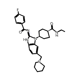 CCNC(=O)[C@H]1CC[C@@H](n2/c(=N/C(=O)c3ccc(F)cc3)[nH]c3ccc(CN4CCCCC4)cc32)CC1